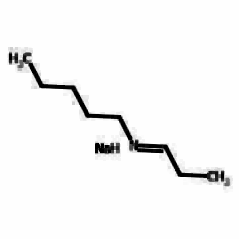 CCC=NCCCCC.[NaH]